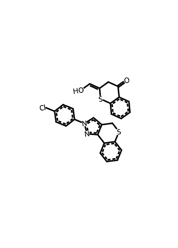 Clc1ccc(-n2cc3c(n2)-c2ccccc2SC3)cc1.O=C1C/C(=C/O)Sc2ccccc21